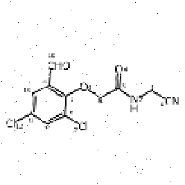 N#CCNC(=O)COc1c(Cl)cc(Cl)cc1C=O